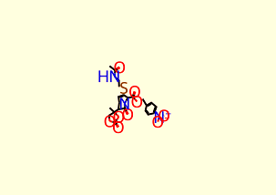 CC(=O)NCCSC1=CC2C(C3(C)COC(=O)O3)C(=O)N2C1C(=O)OCc1ccc([N+](=O)[O-])cc1